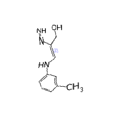 Cc1cccc(N/C=C(/CO)N=N)c1